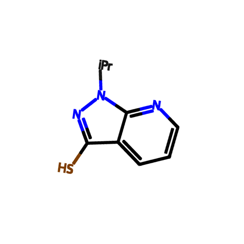 CC(C)n1nc(S)c2cccnc21